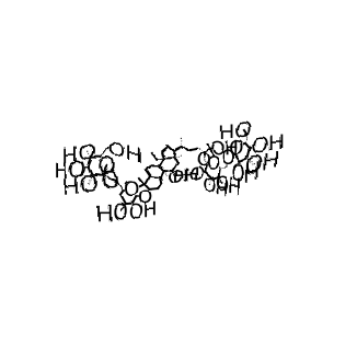 CC[C@@]12CCC([C@H](C)CC[C@@H](O[C@@H]3O[C@H](CO[C@@H]4O[C@H](CO)[C@@H](O)[C@H](O)[C@H]4O)[C@@H](O)[C@H](O)[C@H]3O)C(C)(C)O)[C@@]1(C)C[C@@H](O)[C@@]1(C)C3CC[C@H](O[C@@H]4O[C@H](CO[C@@H]5O[C@H](CO)[C@@H](O)[C@H](O)[C@H]5O)C[C@H](O)[C@H]4O)C(C)(C)C3=CCC12